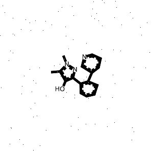 Cc1c(O)c(-c2ccccc2-c2cccnc2)nn1C